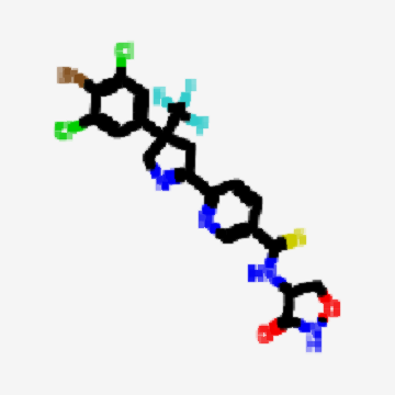 O=C1NOCC1NC(=S)c1ccc(C2=NCC(c3cc(Cl)c(Br)c(Cl)c3)(C(F)(F)F)C2)nc1